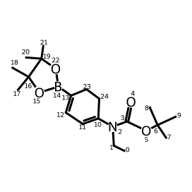 CCN(C(=O)OC(C)(C)C)C1=CC=C(B2OC(C)(C)C(C)(C)O2)CC1